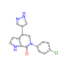 O=c1c2[nH]ccc2c(-c2cn[nH]c2)cn1-c1ccc(Cl)cc1